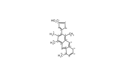 Cc1c(-c2cc(C(=O)O)cs2)c(C)c2cc3c(cc2c1C)C(C)C=CC3